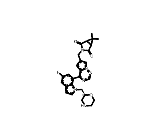 CC1(C)C2C(=O)N(Cc3cc4c(-c5cc(F)cc6ccn(C[C@@H]7CNCCO7)c56)ncnn4c3)C(=O)C21